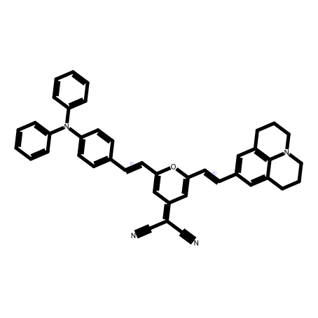 N#CC(C#N)=C1C=C(/C=C/c2ccc(N(c3ccccc3)c3ccccc3)cc2)OC(/C=C/c2cc3c4c(c2)CCCN4CCC3)=C1